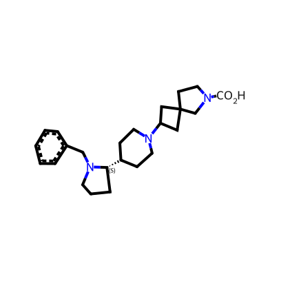 O=C(O)N1CCC2(CC(N3CCC([C@@H]4CCCN4Cc4ccccc4)CC3)C2)C1